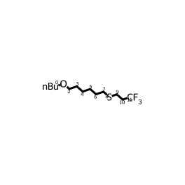 CCCCOCCCCCCSCCC(F)(F)F